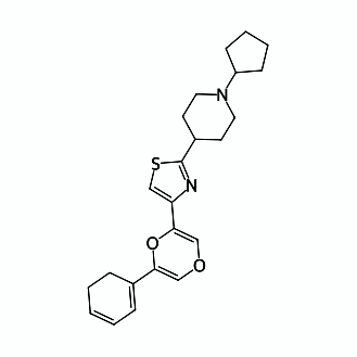 C1=CCCC(C2=COC=C(c3csc(C4CCN(C5CCCC5)CC4)n3)O2)=C1